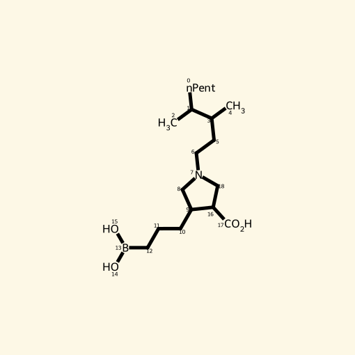 CCCCCC(C)C(C)CCN1CC(CCCB(O)O)C(C(=O)O)C1